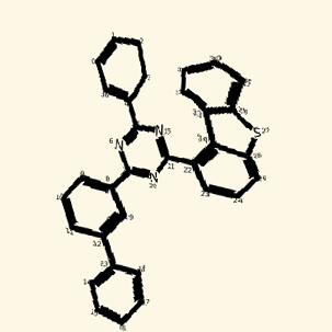 C1=CCCC(c2nc(-c3cccc(-c4ccccc4)c3)nc(-c3cccc4sc5ccccc5c34)n2)=C1